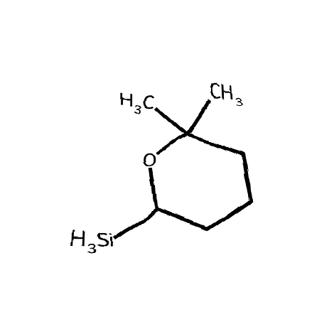 CC1(C)CCCC([SiH3])O1